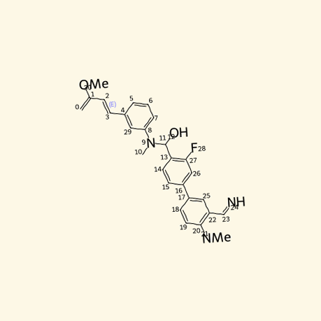 C=C(/C=C/c1cccc(N(C)C(O)c2ccc(-c3ccc(NC)c(C=N)c3)cc2F)c1)OC